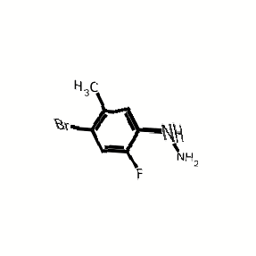 Cc1cc(NN)c(F)cc1Br